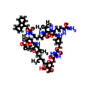 CC(=O)O[C@@H](C)/C=C\C(=O)N[C@@H]1C[C@H](C)[C@H](C/C=C(C)/C=C/[C@H]2O[C@H](CC(=O)NNC(=O)OCc3ccc(NC(=O)[C@H](CCCNC(N)=O)NC(=O)[C@@H](NC(=O)CCCCCNC(=O)OCC4c5ccccc5-c5ccccc54)C(C)C)cc3)C[C@@]3(CO3)[C@@H]2O)O[C@@H]1C